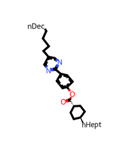 CCCCCCCCCCCCCCc1cnc(-c2ccc(OC(=O)[C@H]3CC[C@H](CCCCCCC)CC3)cc2)nc1